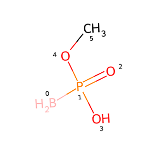 BP(=O)(O)OC